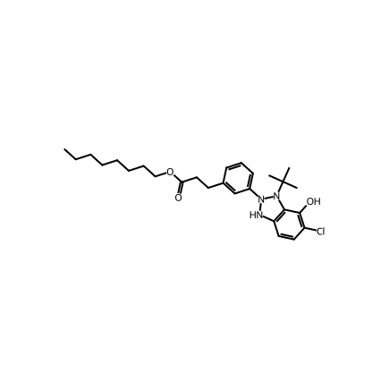 CCCCCCCCOC(=O)CCc1cccc(N2Nc3ccc(Cl)c(O)c3N2C(C)(C)C)c1